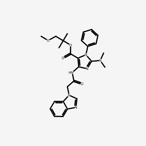 COCC(C)(C)OC(=O)c1c(NC(=O)Cn2cnc3ccccc32)nc(N(C)C)n1-c1ccccc1